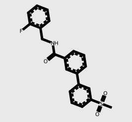 CS(=O)(=O)c1cccc(-c2cccc(C(=O)NCc3ccccc3F)c2)c1